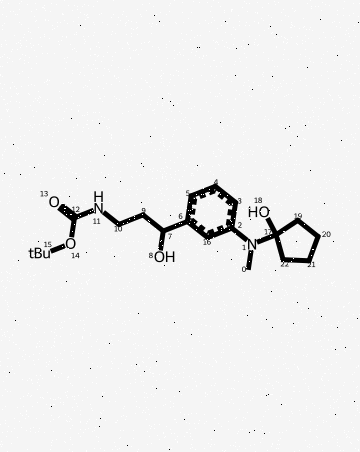 CN(c1cccc(C(O)CCNC(=O)OC(C)(C)C)c1)C1(O)CCCC1